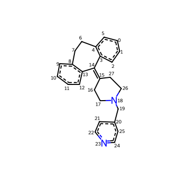 c1ccc2c(c1)CCc1ccccc1C2=C1CCN(Cc2ccncc2)CC1